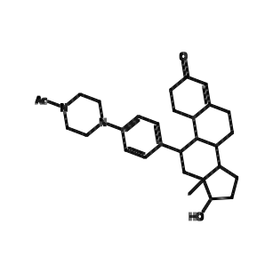 CC(=O)N1CCN(c2ccc(C3CC4(C)C(O)CCC4C4CCC5=CC(=O)CCC5C34)cc2)CC1